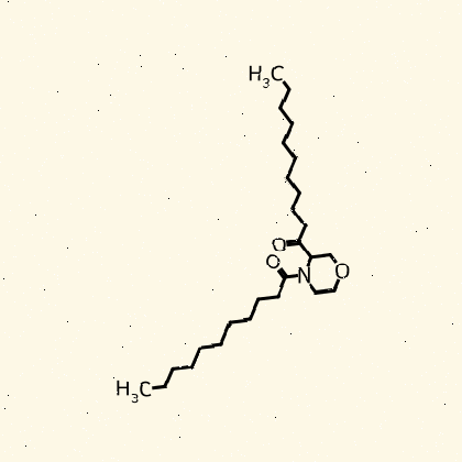 CCCCCCCCCCC(=O)C1COCCN1C(=O)CCCCCCCCCC